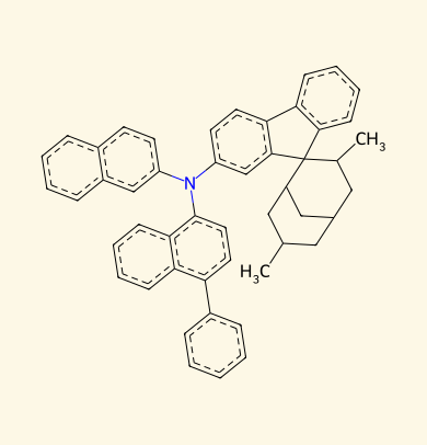 CC1CC2CC(C)C3(c4ccccc4-c4ccc(N(c5ccc6ccccc6c5)c5ccc(-c6ccccc6)c6ccccc56)cc43)C(C1)C2